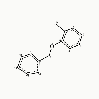 [CH]c1ccccc1OCc1ccccc1